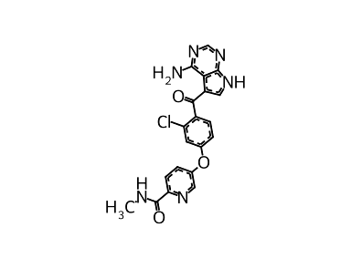 CNC(=O)c1ccc(Oc2ccc(C(=O)c3c[nH]c4ncnc(N)c34)c(Cl)c2)cn1